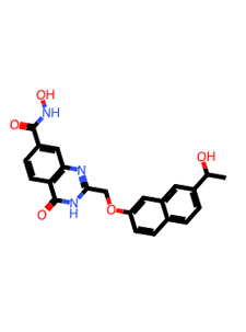 CC(O)c1ccc2ccc(OCc3nc4cc(C(=O)NO)ccc4c(=O)[nH]3)cc2c1